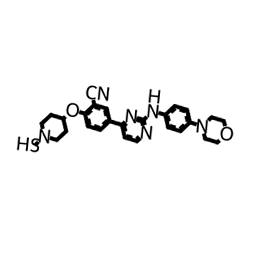 N#Cc1cc(-c2ccnc(Nc3ccc(N4CCOCC4)cc3)n2)ccc1OC1CCN(S)CC1